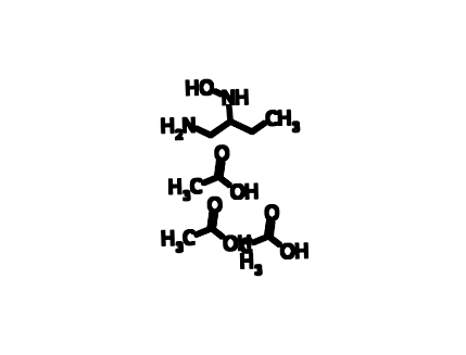 CC(=O)O.CC(=O)O.CC(=O)O.CCC(CN)NO